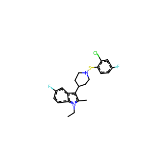 CCn1c(C)c(C2CCN(Sc3ccc(F)cc3Cl)CC2)c2cc(F)ccc21